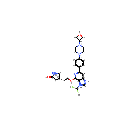 O=C1C[C@@H](CCOc2nc(-c3ccc(N4CCN(C5COC5)CC4)cc3)cc3ncn(C(F)F)c23)CN1